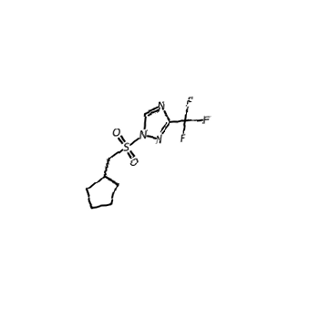 O=S(=O)(CC1CCCC1)n1cnc(C(F)(F)F)n1